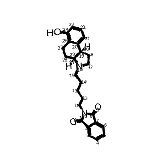 O=C1c2ccccc2C(=O)N1CCCCCN1CC[C@H]2c3cccc(O)c3CC[C@H]21